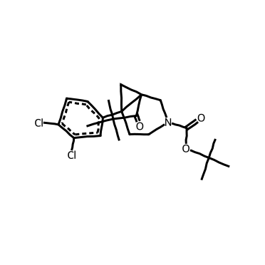 CC(C)(C)OC(=O)N1CCC2(c3ccc(Cl)c(Cl)c3)CC2(C(=O)C(C)(C)C)C1